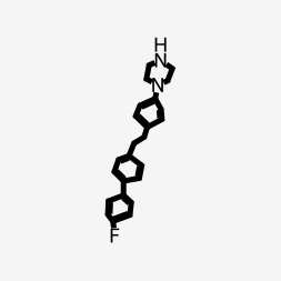 Fc1ccc(-c2ccc(CCc3ccc(N4CCNCC4)cc3)cc2)cc1